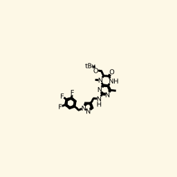 Cc1nc(NCc2cnn(Cc3cc(F)c(F)c(F)c3)c2)nc2c1NC(=O)C(COC(C)(C)C)N2C